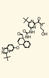 CN(CCO)C(=O)c1nc(NC(=O)N[C@@]2(C=O)C=C[C@@H](Oc3ccc4nnc(C(C)(C)C)n4c3)c3ccccc32)cc(C(C)(C)C)n1